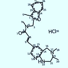 Cc1c(CN(C)C(=O)C=Cc2cnc3c(c2)CN(C)C(C)CN3)oc2ccccc12.Cl